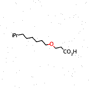 CC(C)CCCCCCOCCC(=O)O